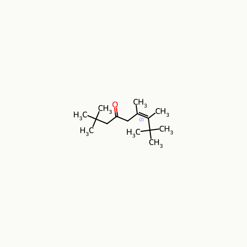 C/C(CC(=O)CC(C)(C)C)=C(\C)C(C)(C)C